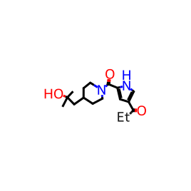 CCC(=O)c1c[nH]c(C(=O)N2CCC(CC(C)(C)O)CC2)c1